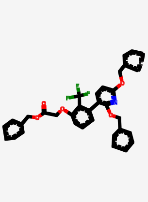 O=C(COc1cccc(-c2ccc(OCc3ccccc3)nc2OCc2ccccc2)c1C(F)(F)F)OCc1ccccc1